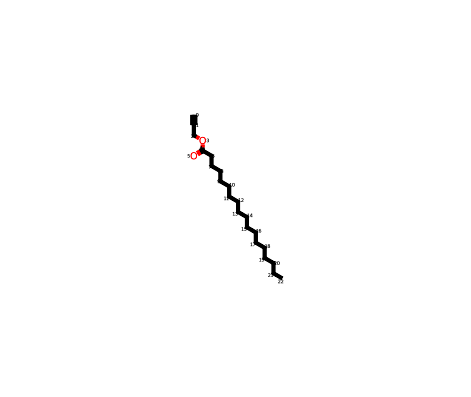 C#CCOC(=O)CCCCCCCCCCCCCCCCC